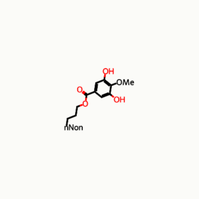 CCCCCCCCCCCCOC(=O)c1cc(O)c(OC)c(O)c1